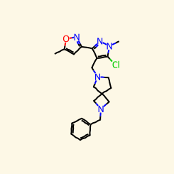 Cc1cc(-c2nn(C)c(Cl)c2CN2CCC3(C2)CN(Cc2ccccc2)C3)no1